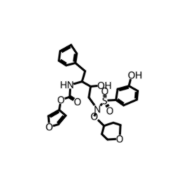 O=C(NC(Cc1ccccc1)C(O)CN(OC1CCOCC1)S(=O)(=O)c1cccc(O)c1)Oc1ccoc1